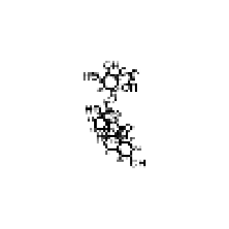 CC(=O)O[C@H]1[C@H](O)[C@@H](OCC(=O)[C@@]2(O)CC[C@H]3[C@@H]4CCC5=CC(O)C=C[C@]5(C)[C@H]4C(=O)C[C@@]32C)C[C@H](O)[C@H]1O